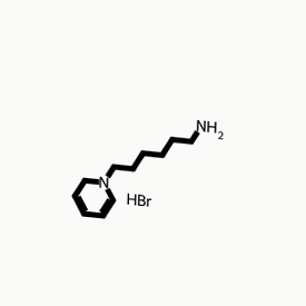 Br.NCCCCCCN1C=CC=CC1